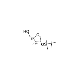 C[C@H]1C(O[Si](C)(C)C(C)(C)C)CO[C@H]1CO